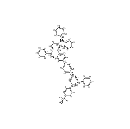 CP(C)(=O)c1ccc(-c2nc(-c3ccccc3)nc(-c3ccc(-c4ccc5c(c4)nc(-c4ccccc4)c4ccc6c(c7ccccc7n6-c6ccccc6)c45)cc3)n2)cc1